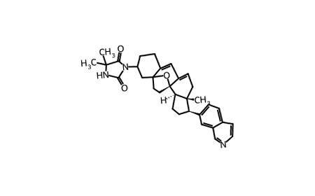 CC1(C)NC(=O)N(C2CCC3=CC4=CC[C@]5(C)[C@@H](c6ccc7ccncc7c6)CC[C@H]5[C@@]45CCC3(C2)O5)C1=O